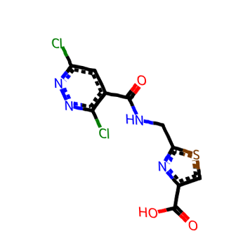 O=C(O)c1csc(CNC(=O)c2cc(Cl)nnc2Cl)n1